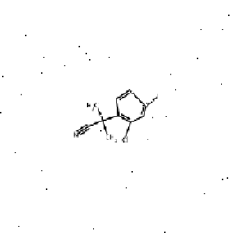 CC(C)(C#N)c1ccc(I)cc1Cl